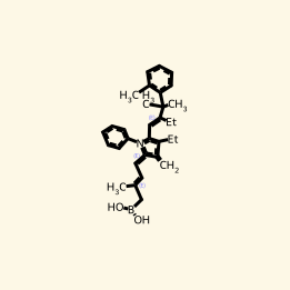 C=c1c(CC)c(/C=C(\CC)C(C)(C)c2ccccc2C)n(-c2ccccc2)/c1=C/C=C(\C)CB(O)O